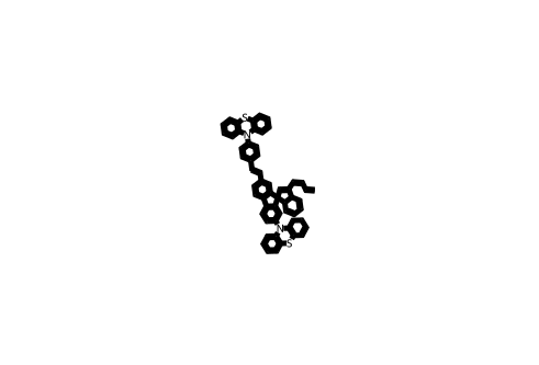 C=C/C=C\C1=CC2(c3cc(/C=C/c4ccc(N5c6ccccc6Sc6ccccc65)cc4)ccc3-c3ccc(N4C5=C(C=CCC5)Sc5ccccc54)cc32)C2C=CC=CC12